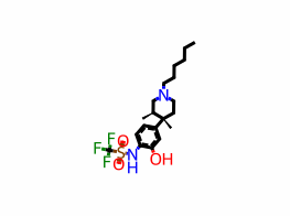 CCCCCCN1CC[C@](C)(c2ccc(NS(=O)(=O)C(F)(F)F)c(O)c2)[C@@H](C)C1